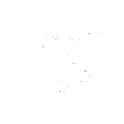 CC(=O)N[C@@H]1[C@@H](NC(=O)OC(C)(C)C)C=C(C(=O)OC(c2ccccc2)c2ccccc2)O[C@@H]1CCC(O)(O)O